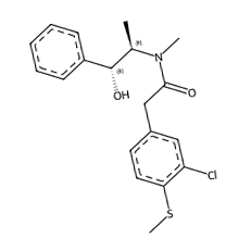 CSc1ccc(CC(=O)N(C)[C@H](C)[C@H](O)c2ccccc2)cc1Cl